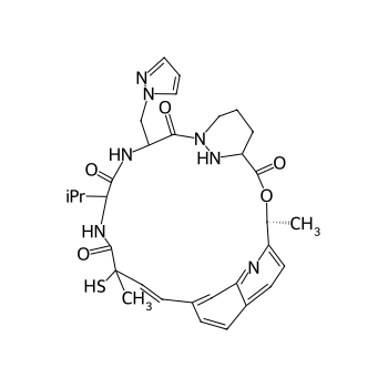 CC(C)C1NC(=O)C(C)(S)/C=C/c2ccc3ccc(nc3c2)[C@@H](C)OC(=O)C2CCCN(N2)C(=O)C(Cn2cccn2)NC1=O